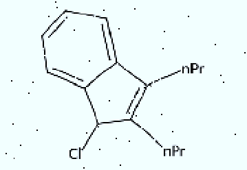 CCCC1=C(CCC)c2ccccc2[C]1Cl